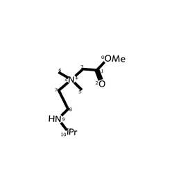 COC(=O)C[N+](C)(C)CCNC(C)C